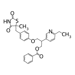 CCc1ccc(C(COC(=O)c2ccccc2)COc2ccc(CC3(C)SC(=O)NC3=O)cc2)cn1